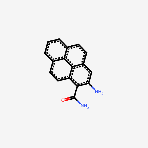 NC(=O)c1c(N)cc2ccc3cccc4ccc1c2c34